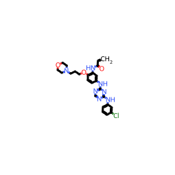 C=CC(=O)Nc1cc(Nc2ncnc(Nc3cccc(Cl)c3)n2)ccc1OCCCN1CCOCC1